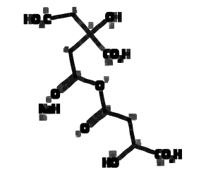 O=C(O)CC(O)(CC(=O)OC(=O)CC(O)C(=O)O)C(=O)O.[NaH]